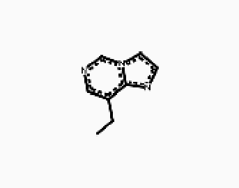 CCc1cncn2ccnc12